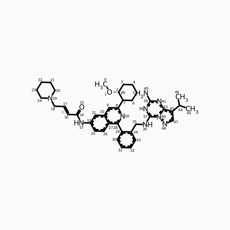 CO[C@@H]1CCCCC1c1cc2cc(NC(=O)/C=C/CN3CCCCC3)ccc2c(-c2ccccc2CNc2nc(N)nc3c(C(C)C)cnn23)n1